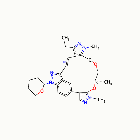 CCc1nn(C)c2c1/C=C/c1nn(C3CCCCO3)c3ccc(cc13)-c1cnn(C)c1O[C@@H](C)COC2